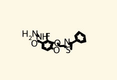 NNC(=O)c1ccc2c(c1F)OC(c1nc(-c3ccccc3)cs1)O2